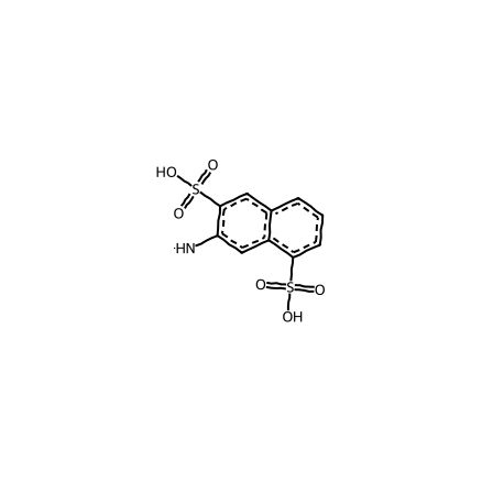 [NH]c1cc2c(S(=O)(=O)O)cccc2cc1S(=O)(=O)O